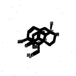 C=C[C@H]1C(=O)CCC2(O)[C@H]3Cc4ccc(O)c(O)c4[C@@]12CCN3